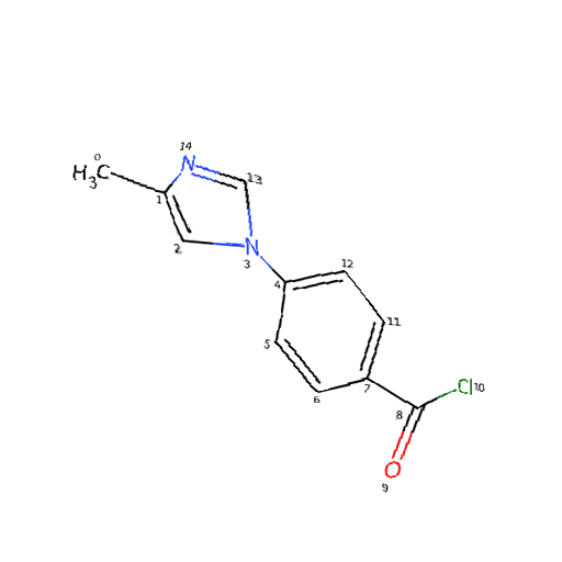 Cc1cn(-c2ccc(C(=O)Cl)cc2)cn1